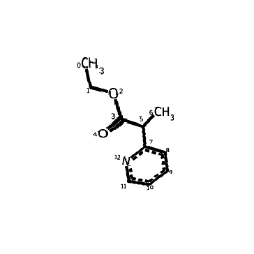 CCOC(=O)C(C)c1ccccn1